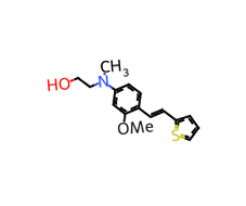 COc1cc(N(C)CCO)ccc1C=Cc1cccs1